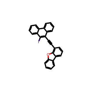 Ic1c(C#Cc2cccc3c2oc2ccccc23)c2ccccc2c2ccccc12